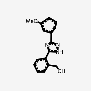 COc1cccc(-c2n[nH]c(-c3ccccc3CO)n2)c1